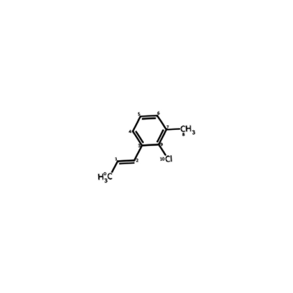 CC=Cc1cccc(C)c1Cl